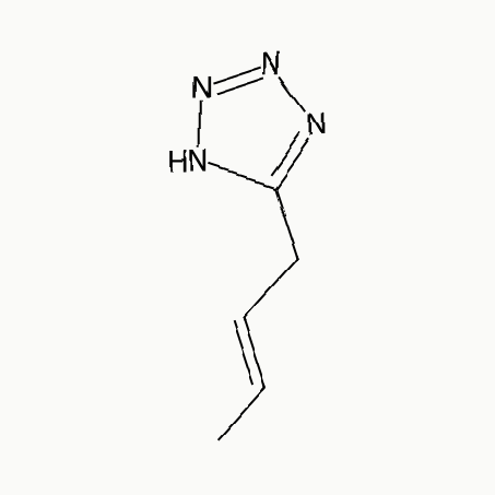 CC=CCc1nnn[nH]1